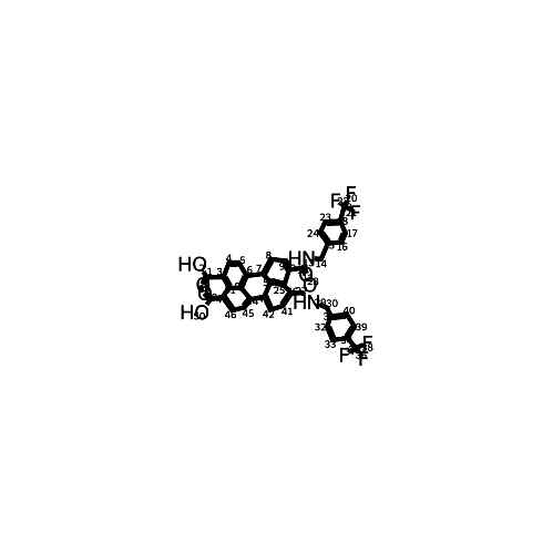 O=C(O)c1ccc2c3ccc(C(=O)NCc4ccc(C(F)(F)F)cc4)c4c(C(=O)NCc5ccc(C(F)(F)F)cc5)ccc(c5ccc(C(=O)O)c1c25)c43